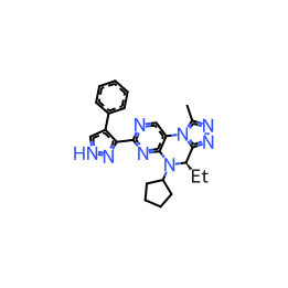 CC[C@@H]1c2nnc(C)n2-c2cnc(-c3n[nH]cc3-c3ccccc3)nc2N1C1CCCC1